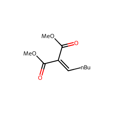 CCCCC=C(C(=O)OC)C(=O)OC